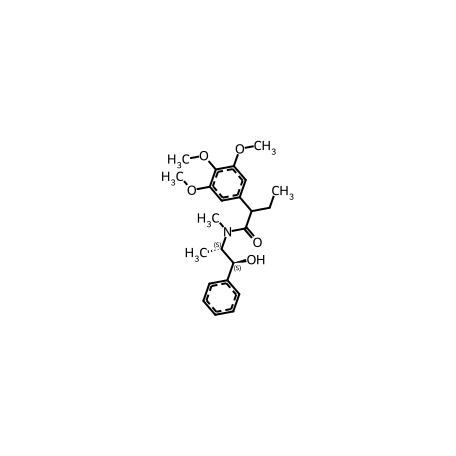 CCC(C(=O)N(C)[C@@H](C)[C@@H](O)c1ccccc1)c1cc(OC)c(OC)c(OC)c1